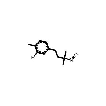 Cc1ccc(CCC(C)(C)N=O)cc1F